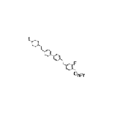 C=CC1CCC(CCc2ccc(-c3ccc(CCc4ccc(COCCC)c(F)c4)cc3)cc2)CC1